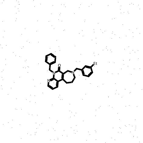 CCc1cccc(CN2CCCc3c(c(=O)n(Cc4ccccc4)c4ncccc34)C2)c1